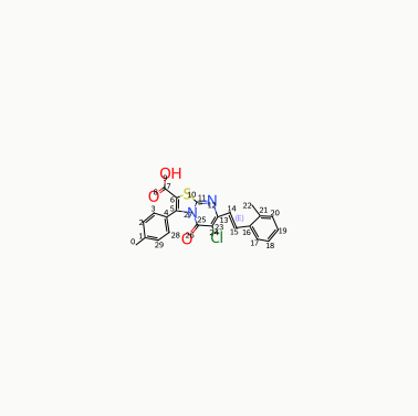 Cc1ccc(-c2c(C(=O)O)sc3nc(/C=C/c4ccccc4C)c(Cl)c(=O)n23)cc1